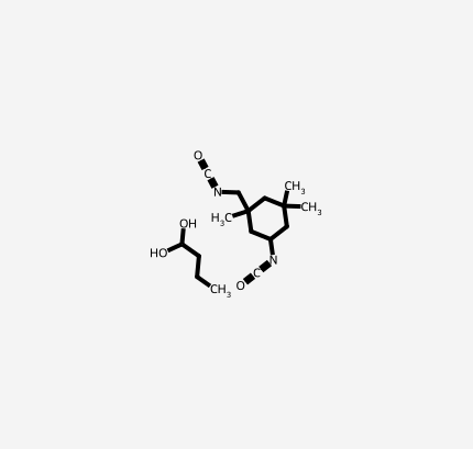 CC1(C)CC(N=C=O)CC(C)(CN=C=O)C1.CCCC(O)O